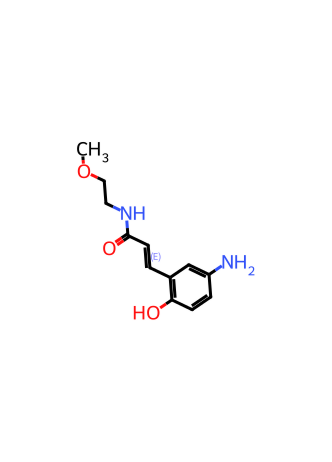 COCCNC(=O)/C=C/c1cc(N)ccc1O